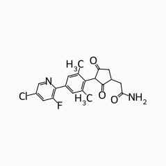 Cc1cc(-c2ncc(Cl)cc2F)cc(C)c1C1C(=O)CC(CC(N)=O)C1=O